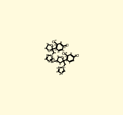 Clc1ccc(C2(Cn3cncn3)CC(Br)CO2)c(Cl)c1.Clc1ccc(C2(Cn3cncn3)OCCO2)c(Cl)c1